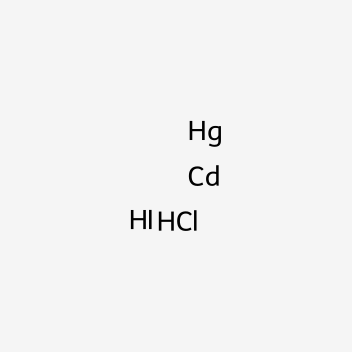 Cl.I.[Cd].[Hg]